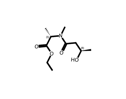 CCOC(=O)[C@H](C)N(C)C(=O)C[C@@H](C)O